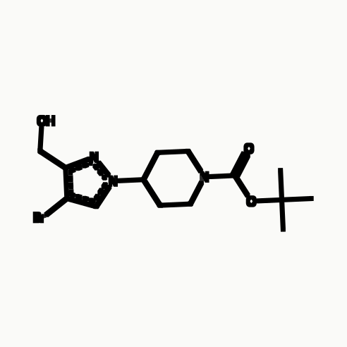 CC(C)(C)OC(=O)N1CCC(n2cc(Br)c(CO)n2)CC1